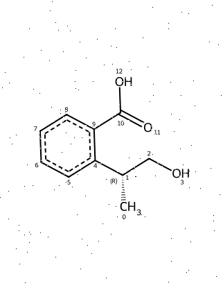 C[C@@H](CO)c1ccccc1C(=O)O